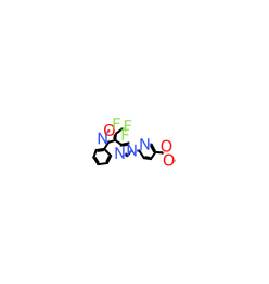 COC(=O)c1ccc(-n2cnc(-c3c(-c4ccccc4)noc3C(F)(F)F)c2)nc1